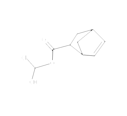 CC(Cl)OC(=O)C1CC2C=CC1C2